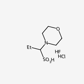 CCC(N1CCOCC1)S(=O)(=O)O.Cl.F